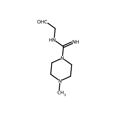 CN1CCN(C(=N)NCC=O)CC1